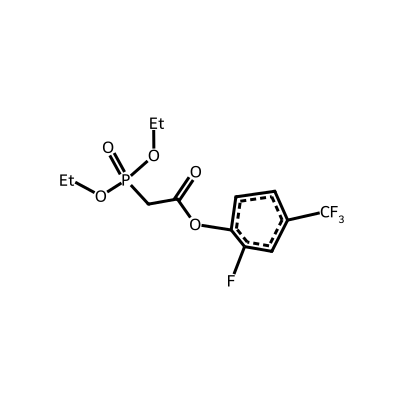 CCOP(=O)(CC(=O)Oc1ccc(C(F)(F)F)cc1F)OCC